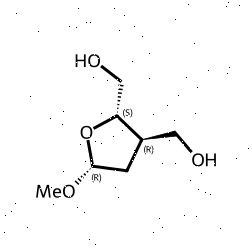 CO[C@H]1C[C@H](CO)[C@@H](CO)O1